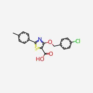 Cc1ccc(-c2nc(OCc3ccc(Cl)cc3)c(C(=O)O)s2)cc1